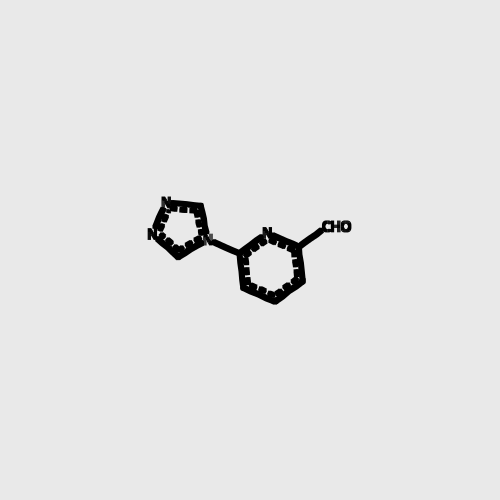 O=Cc1cccc(-n2cnnc2)n1